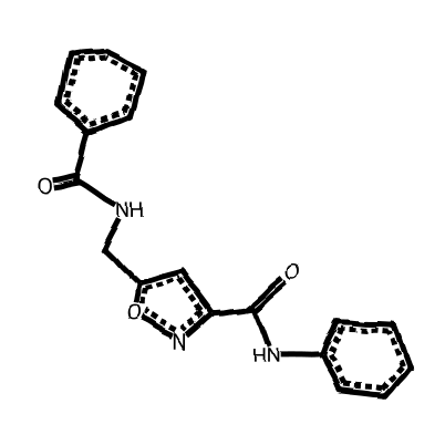 O=C(NCc1cc(C(=O)Nc2ccccc2)no1)c1ccccc1